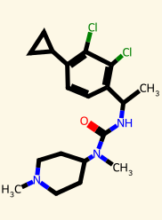 CC(NC(=O)N(C)C1CCN(C)CC1)c1ccc(C2CC2)c(Cl)c1Cl